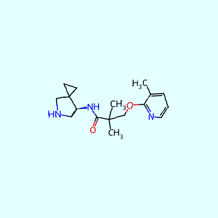 Cc1cccnc1OCC(C)(C)C(=O)N[C@H]1CNCC12CC2